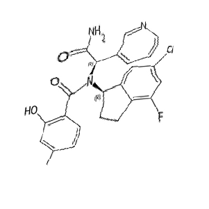 Cc1ccc(C(=O)N([C@@H]2CCc3c(F)cc(Cl)cc32)[C@@H](C(N)=O)c2cccnc2)c(O)c1